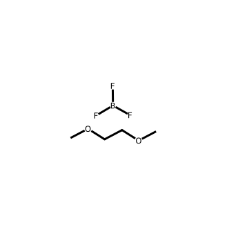 COCCOC.FB(F)F